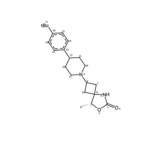 C[C@H]1OC(=O)NC12CC(N1CCC(c3ccc(C(C)(C)C)cc3)CC1)C2